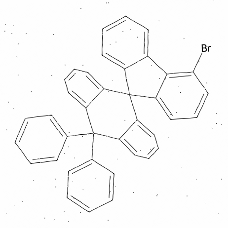 Brc1cccc2c1-c1ccccc1C21c2ccccc2C(c2ccccc2)(c2ccccc2)c2ccccc21